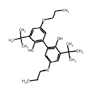 CCCOc1cc(-c2cc(OCCC)cc(C(C)(C)C)c2O)c(O)c(C(C)(C)C)c1